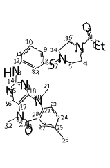 CCC(=O)N1CCN(Sc2cccc(Nc3ncc4c(n3)N(C)c3ccc(C)cc3C(=O)N4C)c2)CC1